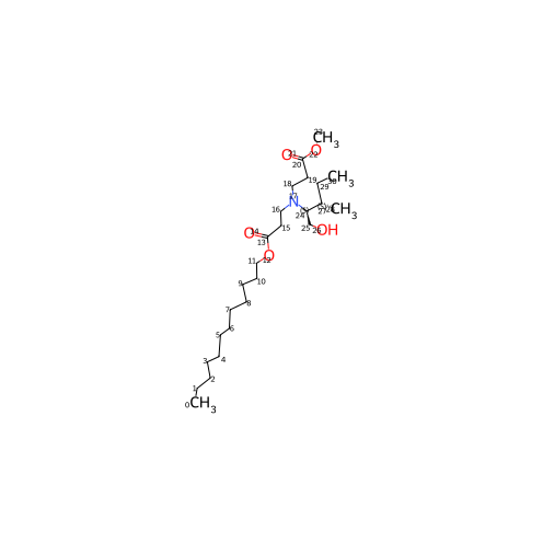 CCCCCCCCCCCCOC(=O)CCN(CCC(=O)OC)[C@H](CO)[C@@H](C)CC